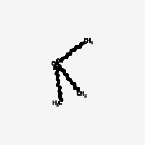 CCCCCCCCCCCCOP(=O)(CCCCCCCCCCCC)OCCCCCCCCCCCC